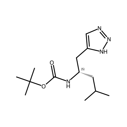 CC(C)C[C@@H](Cc1cnn[nH]1)NC(=O)OC(C)(C)C